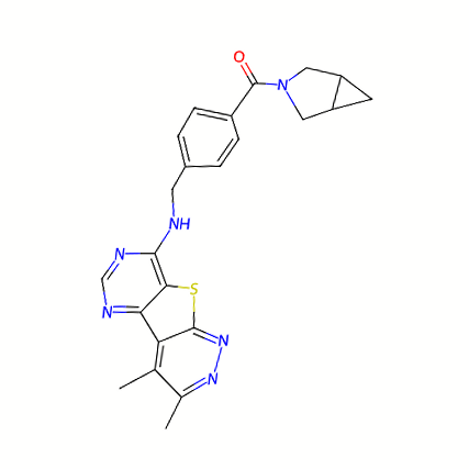 Cc1nnc2sc3c(NCc4ccc(C(=O)N5CC6CC6C5)cc4)ncnc3c2c1C